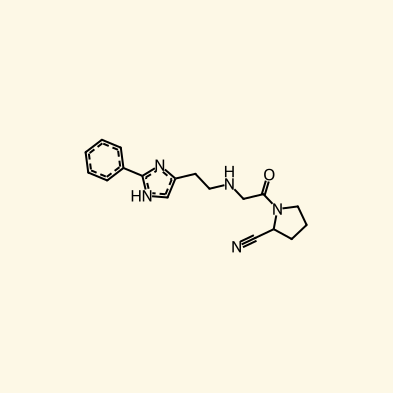 N#CC1CCCN1C(=O)CNCCc1c[nH]c(-c2ccccc2)n1